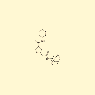 O=C(CC1CCN(C(=O)NC2CCCCC2)C1)NC12CC3CC(CC(C3)C1)C2